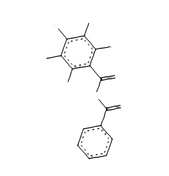 O=C(OC(=O)c1c(F)c(F)c(F)c(F)c1F)c1ccccc1